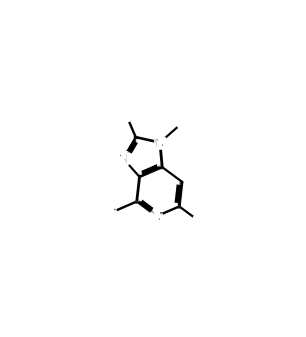 Cn1c(C=O)nc2c(Cl)nc(Cl)cc21